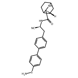 N#C[C@H](Cc1ccc(-c2ccc(SN)cc2)cc1)NC(=O)[C@H]1NC2CCC1CC2